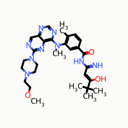 COCCN1CCN(c2ncc3ncnc(N(C)c4cc(C(=O)NC(=N)/C=C(\O)C(C)(C)C)ccc4C)c3n2)CC1